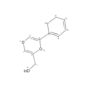 OCC1=COC=C(C2=CC=CCC2)O1